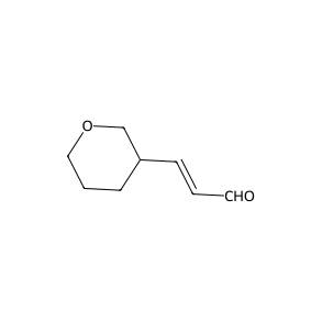 O=C/C=C/C1CCCOC1